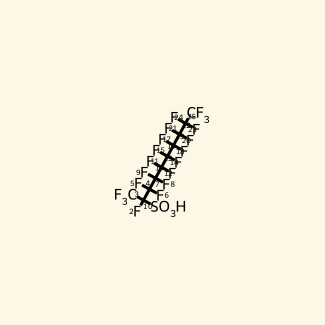 O=S(=O)(O)C(F)(C(F)(F)F)C(F)(F)C(F)(F)C(F)(F)C(F)(F)C(F)(F)C(F)(F)C(F)(F)C(F)(F)F